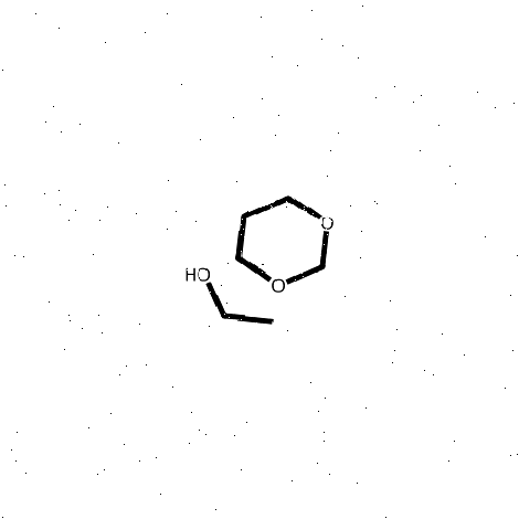 C1COCOC1.CCO